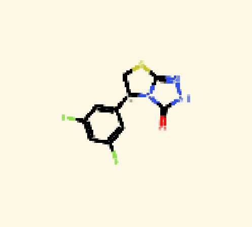 O=c1[nH]nc2n1[C@@H](c1cc(F)cc(F)c1)CS2